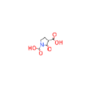 O=C(O)C1CCN(C(=O)O)C1=O